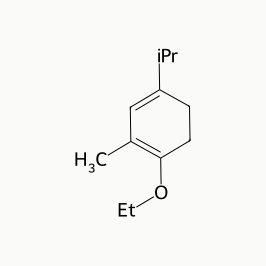 CCOC1=C(C)C=C(C(C)C)CC1